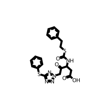 O=C(O)CC(NC(=O)SCCc1ccccc1)C(=O)Cn1nnc(Sc2ccccc2)n1